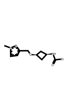 CCC(=O)N[C@H]1C[C@@H](OCc2ccn(C)n2)C1